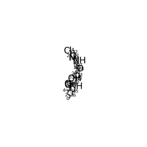 Cc1cc(C)c(C(=O)N[C@@H](Cc2ccc(-c3cc(CNc4ccc(Cl)cn4)co3)cc2)C(=O)O)c(C)c1